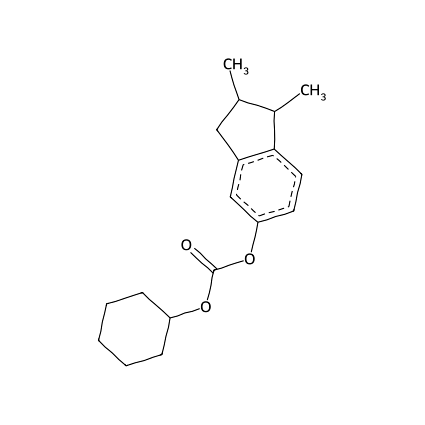 CC1Cc2cc(OC(=O)OC3CCCCC3)ccc2C1C